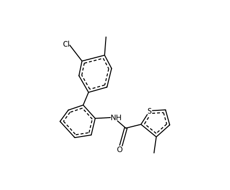 Cc1ccc(-c2ccccc2NC(=O)c2sccc2C)cc1Cl